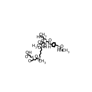 CNCCC[C@H](NC(=O)[C@@H](NC(=O)CCCCCN(C)C(=O)CC(C=O)SCCC(=O)O)C(C)C)C(=O)Nc1ccc(COC(=O)NC)cc1